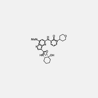 CNc1cc(Nc2cccn(C3CCOCC3)c2=O)nc2c(C(=O)N[C@H]3CCCC[C@]3(C)O)cnn12